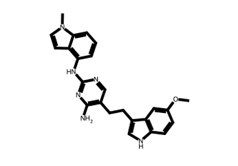 COc1ccc2[nH]cc(CCc3cnc(Nc4cccc5c4ccn5C)nc3N)c2c1